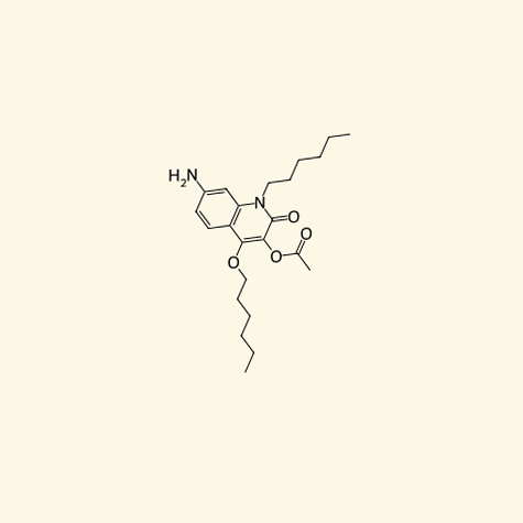 CCCCCCOc1c(OC(C)=O)c(=O)n(CCCCCC)c2cc(N)ccc12